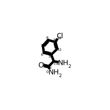 NC(=O)C(N)c1cccc(Cl)c1